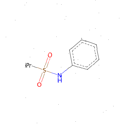 CC(C)S(=O)(=O)Nc1c[c]ccc1